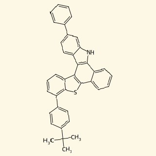 CC(C)(C)c1ccc(-c2cccc3c2sc2c4ccccc4c4[nH]c5cc(-c6ccccc6)ccc5c4c32)cc1